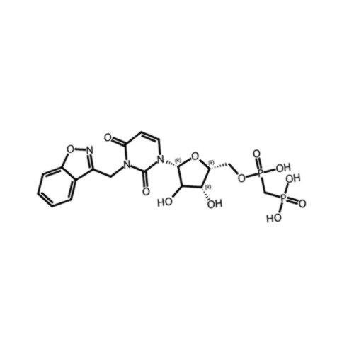 O=c1ccn([C@@H]2O[C@H](COP(=O)(O)CP(=O)(O)O)[C@H](O)C2O)c(=O)n1Cc1noc2ccccc12